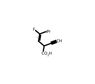 C#CC(/C=C(/F)C(C)C)C(=O)O